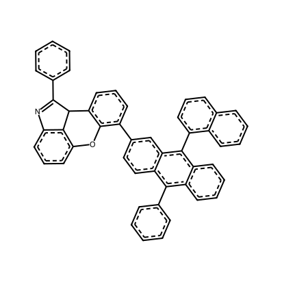 c1ccc(C2=Nc3cccc4c3C2c2cccc(-c3ccc5c(-c6ccccc6)c6ccccc6c(-c6cccc7ccccc67)c5c3)c2O4)cc1